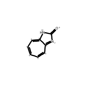 O=c1nc2cccccc-2[nH]1